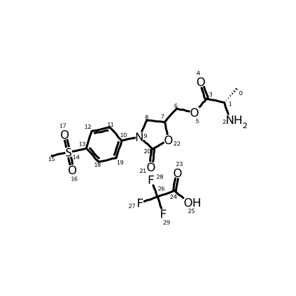 C[C@H](N)C(=O)OCC1CN(c2ccc(S(C)(=O)=O)cc2)C(=O)O1.O=C(O)C(F)(F)F